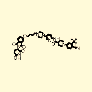 N#Cc1ccc(N2CCC(C(=O)Nc3ccc(N4CCN(CCCCOc5ccc6c(c5)C(=O)N(C5CCC(=O)NC5=O)C6=O)CC4)cn3)CC2)cc1C(F)(F)F